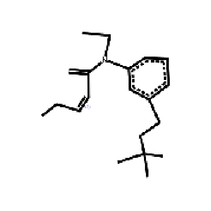 C=C(/C=C\CC)N(CC)c1cccc(CCC(C)(C)C)c1